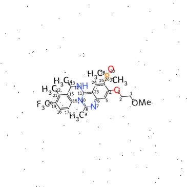 COCCOc1cc2nc(C)nc(N[C@H](C)c3cccc(C(F)(F)F)c3C)c2cc1P(C)(C)=O